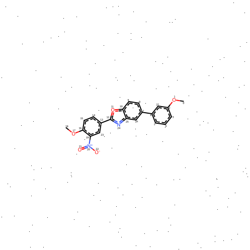 COc1cccc(-c2ccc3oc(-c4ccc(OC)c([N+](=O)[O-])c4)nc3c2)c1